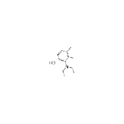 CCN(CC)c1cccc(C)c1C.Cl